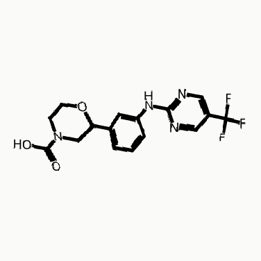 O=C(O)N1CCOC(c2cccc(Nc3ncc(C(F)(F)F)cn3)c2)C1